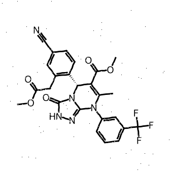 COC(=O)Cc1cc(C#N)ccc1[C@@H]1C(C(=O)OC)=C(C)N(c2cccc(C(F)(F)F)c2)c2n[nH]c(=O)n21